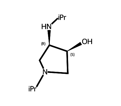 CC(C)N[C@@H]1CN(C(C)C)C[C@@H]1O